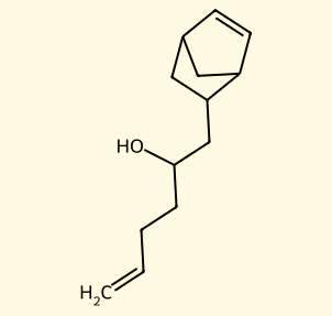 C=CCCC(O)CC1CC2C=CC1C2